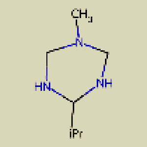 CC(C)C1NCN(C)CN1